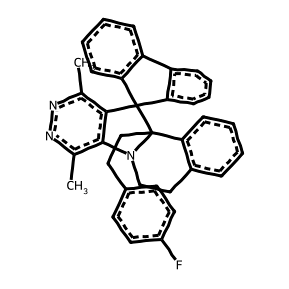 Cc1nnc(C)c2c1N1CCc3ccccc3C1(CCc1ccc(F)cc1)C21c2ccccc2-c2ccccc21